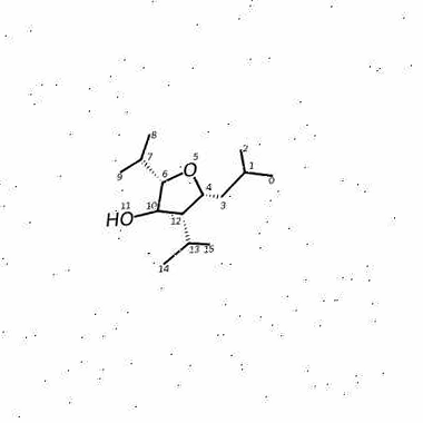 CC(C)C[C@H]1O[C@@H](C(C)C)C(O)[C@H]1C(C)C